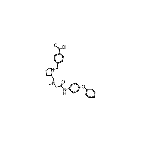 CN(CC(=O)Nc1ccc(Oc2ccccc2)cc1)CC1CCCN1Cc1ccc(C(=O)O)cc1